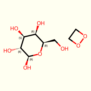 C1COO1.OC[C@H]1O[C@@H](O)[C@H](O)[C@@H](O)[C@H]1O